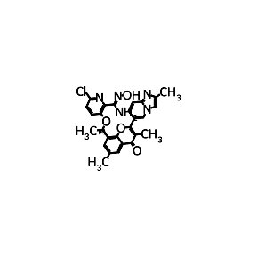 Cc1cc([C@@H](C)Oc2ccc(Cl)nc2C(N)=NO)c2oc(-c3ccc4nc(C)cn4c3)c(C)c(=O)c2c1